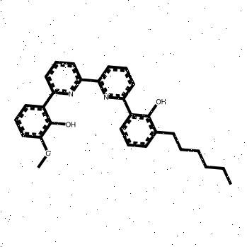 CCCCCCc1cccc(-c2cccc(-c3cccc(-c4cccc(OC)c4O)n3)n2)c1O